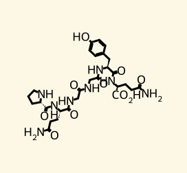 NC(=O)CC[C@H](NC(=O)[C@H](Cc1ccc(O)cc1)NC(=O)CNC(=O)CNC(=O)[C@H](CCC(N)=O)NC(=O)[C@@H]1CCCN1)C(=O)O